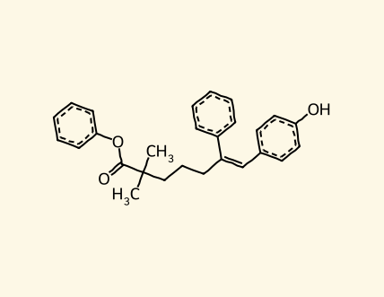 CC(C)(CCCC(=Cc1ccc(O)cc1)c1ccccc1)C(=O)Oc1ccccc1